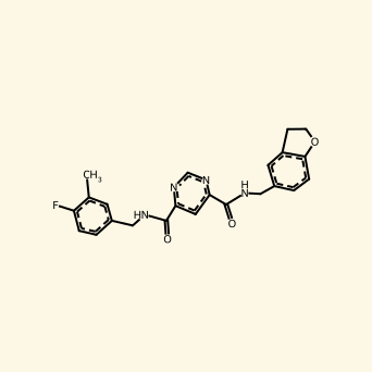 Cc1cc(CNC(=O)c2cc(C(=O)NCc3ccc4c(c3)CCO4)ncn2)ccc1F